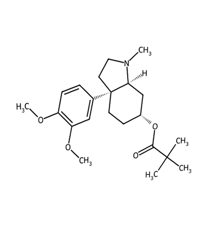 COc1ccc([C@@]23CC[C@@H](OC(=O)C(C)(C)C)C[C@@H]2N(C)CC3)cc1OC